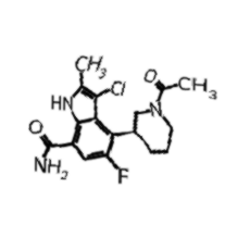 CC(=O)N1CCC[C@@H](c2c(F)cc(C(N)=O)c3[nH]c(C)c(Cl)c23)C1